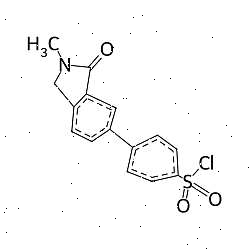 CN1Cc2ccc(-c3ccc(S(=O)(=O)Cl)cc3)cc2C1=O